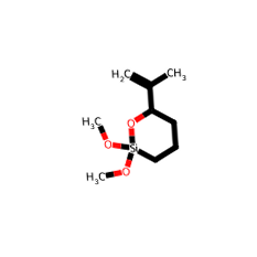 C=C(C)C1CCC[Si](OC)(OC)O1